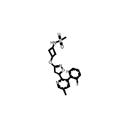 Cc1cnc(C2CC(OC3CC(NS(C)(=O)=O)C3)=NO2)c(-c2c(F)cccc2F)c1